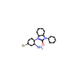 Nc1cc(Br)ccc1-n1c(=O)n(-c2ccccc2)c2ccccc21